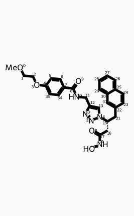 COCCOc1ccc(C(=O)NCc2cn([C@@H](CC(=O)NO)Cc3ccc4ccccc4c3)nn2)cc1